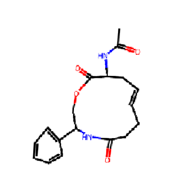 CC(=O)N[C@H]1C/C=C/CCC(=O)NC(c2ccccc2)COC1=O